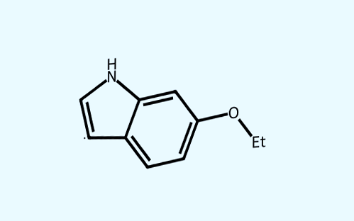 CCOc1ccc2[c]c[nH]c2c1